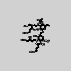 CCCCCCCCCCCCCC(=O)N(O)[C@@H]1[C@@H](OCC[C@H](O)CCCCCCCCCCC)[C@H](O)[C@@H](CO[C@@H]2O[C@H](CF)[C@@H](OP(=O)(O)O)[C@H](OCC[C@@H](CCCCCCCCCCC)OCCCCCCCCCCCC)[C@H]2NC(C)=O)O[C@@H]1C(=O)O